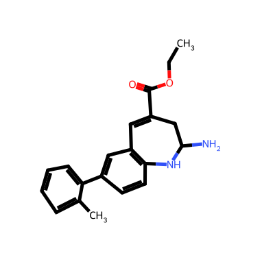 CCOC(=O)C1=Cc2cc(-c3ccccc3C)ccc2NC(N)C1